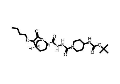 CCCCOC1C(=O)N2C[C@H]1CC[C@H]2C(=O)NNC(=O)N1CCC(NC(=O)OC(C)(C)C)CC1